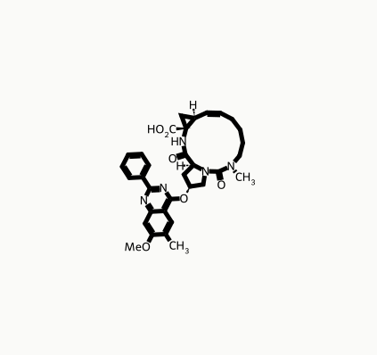 COc1cc2nc(-c3ccccc3)nc(O[C@@H]3C[C@H]4C(=O)N[C@]5(C(=O)O)C[C@H]5/C=C\CCCCN(C)C(=O)N4C3)c2cc1C